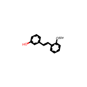 COc1ccccc1C=Cc1cccc(O)c1